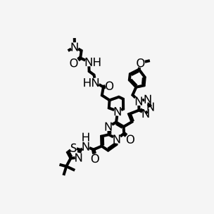 COc1ccc(Cn2nnnc2/C=C/c2c(N3CCCC(CC(=O)NCCNC(=O)CN(C)C)C3)nc3cc(C(=O)Nc4nc(C(C)(C)C)cs4)ccn3c2=O)cc1